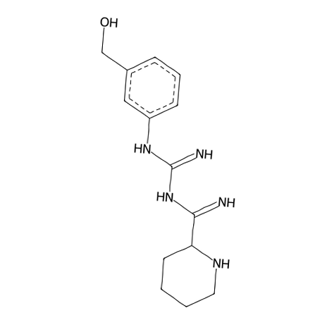 N=C(NC(=N)C1CCCCN1)Nc1cccc(CO)c1